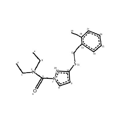 CCN(CC)C(=O)n1ccc(SCc2ccccc2C)n1